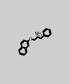 N[C@@H](COc1ccc2ccccc2c1)Cc1ccccc1